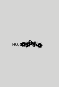 O=C(N[C@H]1COc2nc(N3CCN(C(=O)O)CC3)c(F)cc2C1)OCc1ccccc1